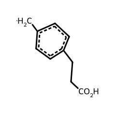 [CH2]c1ccc(CCC(=O)O)cc1